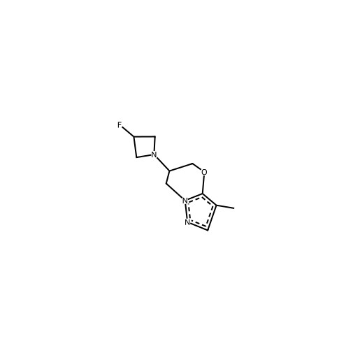 Cc1cnn2c1OCC(N1CC(F)C1)C2